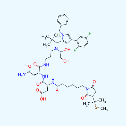 CSC(C)(C)C1CC(=O)N(CCCCCC(=O)N[C@@H](CC(=O)O)C(=O)N[C@@H](CC(N)=O)C(=O)NCCCN(C(O)CO)[C@@H](c2cc(-c3cc(F)ccc3F)cn2Cc2ccccc2)C(C)(C)C)C1=O